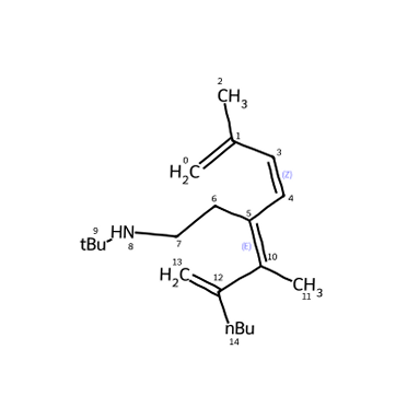 C=C(C)/C=C\C(CCNC(C)(C)C)=C(/C)C(=C)CCCC